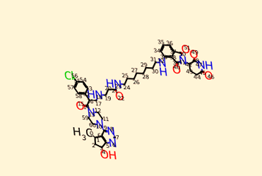 C[C@@H]1C[C@@H](O)c2ncnc(N3CCN(C(=O)[C@H](CNCCC(=O)NCCCCCCCCNc4cccc5c4C(=O)N(C4CCC(=O)NC4=O)C5=O)c4ccc(Cl)cc4)CC3)c21